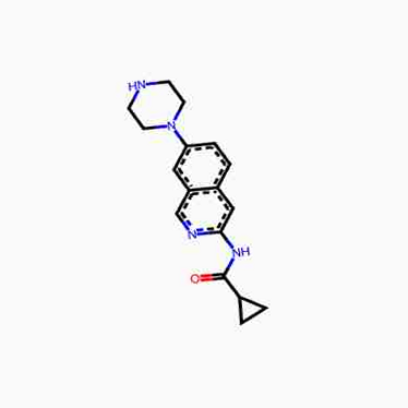 O=C(Nc1cc2ccc(N3CCNCC3)cc2cn1)C1CC1